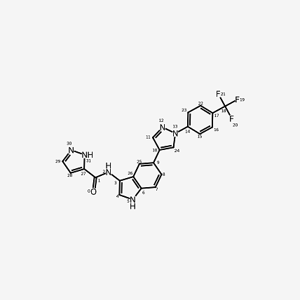 O=C(Nc1c[nH]c2ccc(-c3cnn(-c4ccc(C(F)(F)F)cc4)c3)cc12)c1ccn[nH]1